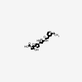 COc1cc(CC(=O)Nc2cc([C@H]3CC[C@@H]([C@]4(C)[C@@H](O)CN4C(=O)O)C3)[nH]n2)ccn1